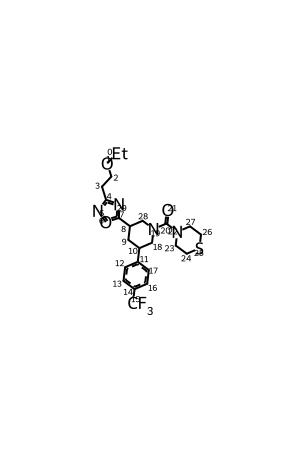 CCOCCc1noc(C2CC(c3ccc(C(F)(F)F)cc3)CN(C(=O)N3CCSCC3)C2)n1